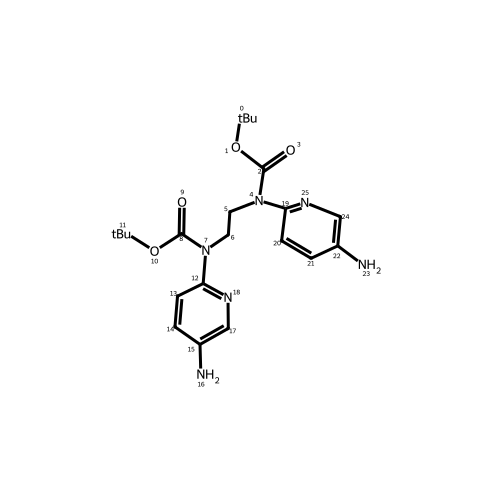 CC(C)(C)OC(=O)N(CCN(C(=O)OC(C)(C)C)c1ccc(N)cn1)c1ccc(N)cn1